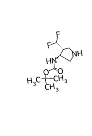 CC(C)(C)OC(=O)N[C@@H]1CNC[C@H]1C(F)F